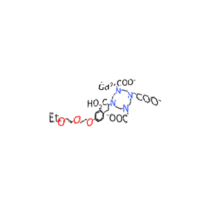 CCOCCOCCOc1ccc(C[C@@H](C(=O)O)N2CCN(CC(=O)[O-])CCN(CC(=O)[O-])CCN(CC(=O)[O-])CC2)cc1.[Gd+3]